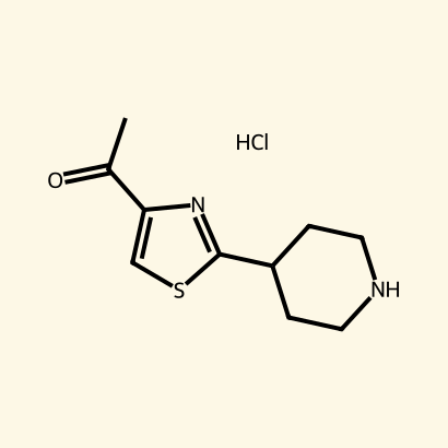 CC(=O)c1csc(C2CCNCC2)n1.Cl